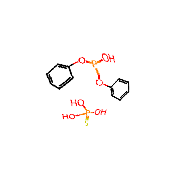 OP(O)(O)=S.OP(Oc1ccccc1)Oc1ccccc1